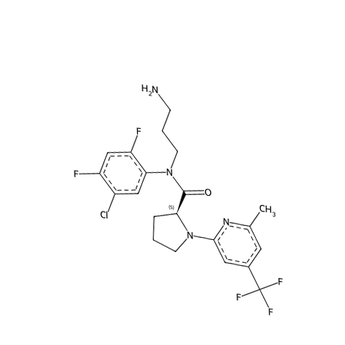 Cc1cc(C(F)(F)F)cc(N2CCC[C@H]2C(=O)N(CCCN)c2cc(Cl)c(F)cc2F)n1